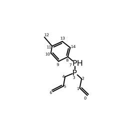 C=CCP(CC=C)Pc1ccc(C)cc1